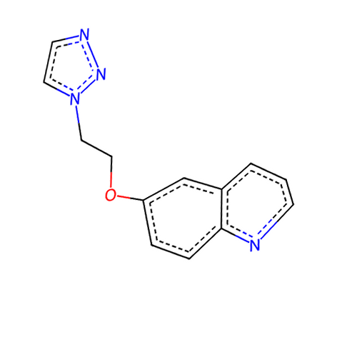 c1cnc2ccc(OCCn3ccnn3)cc2c1